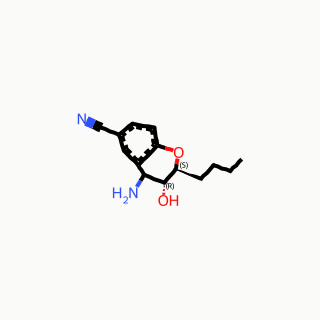 CCCC[C@@H]1Oc2ccc(C#N)cc2C(N)[C@H]1O